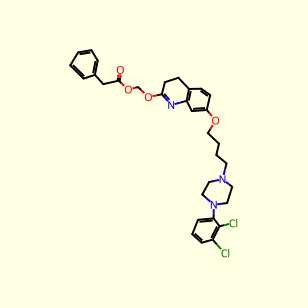 O=C(Cc1ccccc1)OCOC1=Nc2cc(OCCCCN3CCN(c4cccc(Cl)c4Cl)CC3)ccc2CC1